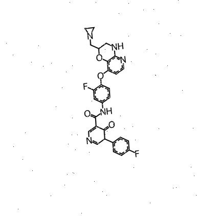 O=C(Nc1ccc(Oc2ccnc3c2OC(CN2CC2)CN3)c(F)c1)C1=CN=CC(c2ccc(F)cc2)C1=O